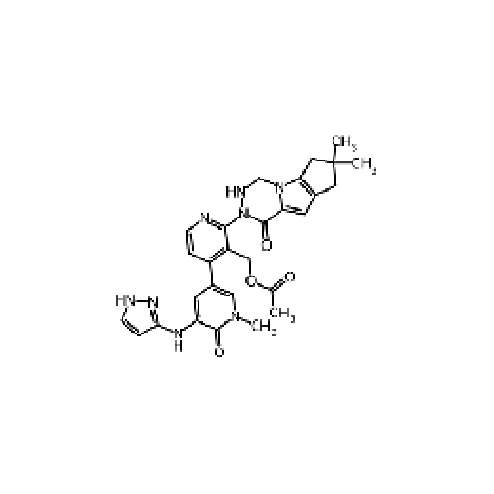 CC(=O)OCc1c(-c2cc(Nc3cc[nH]n3)c(=O)n(C)c2)ccnc1N1NCn2c(cc3c2CC(C)(C)C3)C1=O